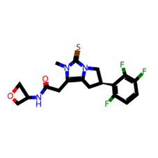 Cn1c(CC(=O)NC2COC2)c2n(c1=S)C[C@@H](c1c(F)ccc(F)c1F)C2